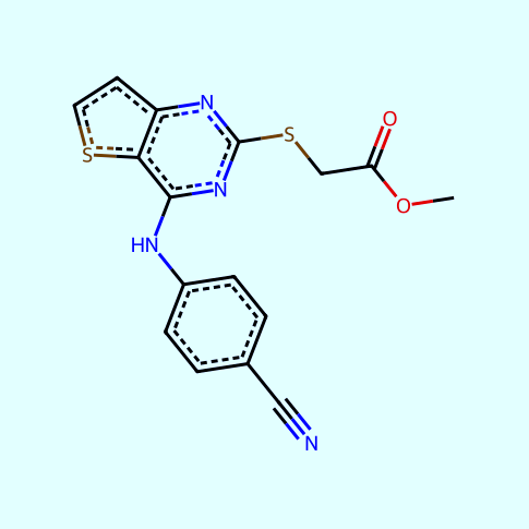 COC(=O)CSc1nc(Nc2ccc(C#N)cc2)c2sccc2n1